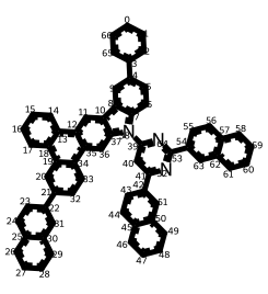 c1ccc(-c2ccc3c(c2)c2cc4c5ccccc5c5cc(-c6ccc7ccccc7c6)ccc5c4cc2n3-c2cc(-c3ccc4ccccc4c3)nc(-c3ccc4ccccc4c3)n2)cc1